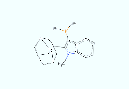 CC(C)P(c1c(C23CC4CC(CC(C4)C2)C3)n(C)c2ccccc12)C(C)C